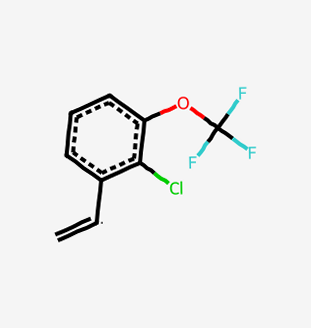 C=[C]c1cccc(OC(F)(F)F)c1Cl